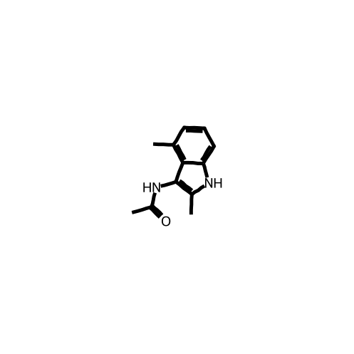 CC(=O)Nc1c(C)[nH]c2cccc(C)c12